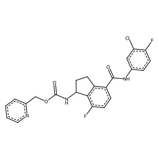 O=C(NC1CCc2c(C(=O)Nc3ccc(F)c(Cl)c3)ccc(F)c21)OCc1ccccn1